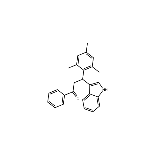 Cc1cc(C)c(C(CC(=O)c2ccccc2)c2c[nH]c3ccccc23)c(C)c1